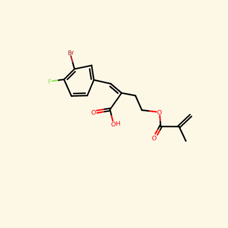 C=C(C)C(=O)OCCC(=Cc1ccc(F)c(Br)c1)C(=O)O